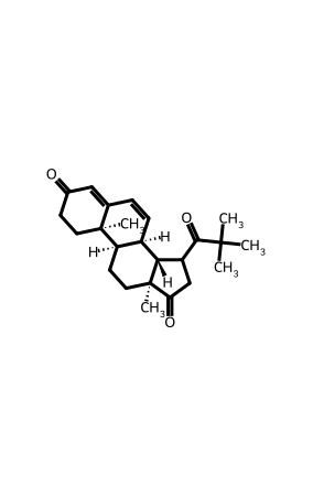 CC(C)(C)C(=O)C1CC(=O)[C@@]2(C)CC[C@@H]3[C@@H](C=CC4=CC(=O)CC[C@@]43C)[C@H]12